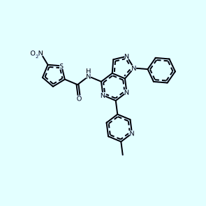 Cc1ccc(-c2nc(NC(=O)c3ccc([N+](=O)[O-])s3)c3cnn(-c4ccccc4)c3n2)cn1